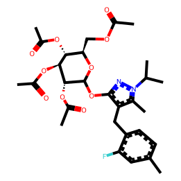 CC(=O)OC[C@H]1OC(Oc2nn(C(C)C)c(C)c2Cc2ccc(C)cc2F)[C@H](OC(C)=O)[C@@H](OC(C)=O)[C@@H]1OC(C)=O